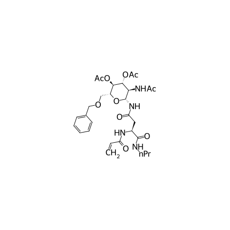 C=CC(=O)N[C@@H](CC(=O)N[C@@H]1O[C@H](COCc2ccccc2)[C@@H](OC(C)=O)[C@H](OC(C)=O)[C@H]1NC(C)=O)C(=O)NCCC